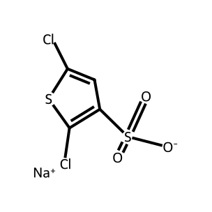 O=S(=O)([O-])c1cc(Cl)sc1Cl.[Na+]